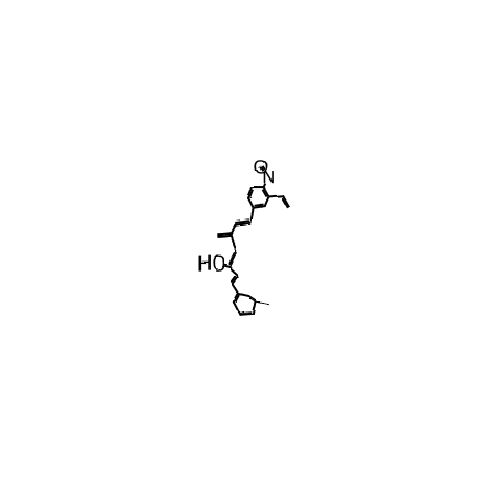 C=Cc1cc(/C=C/C(=C)/C=C(O)/C=C/c2cccc(C)c2)ccc1N=O